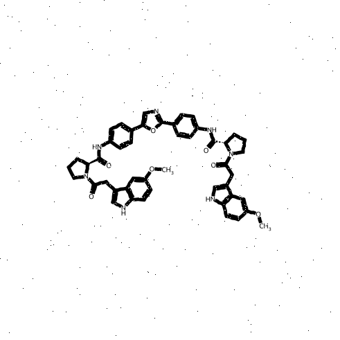 COc1ccc2[nH]cc(CC(=O)N3CCC[C@H]3C(=O)Nc3ccc(-c4cnc(-c5ccc(NC(=O)[C@@H]6CCCN6C(=O)Cc6c[nH]c7ccc(OC)cc67)cc5)o4)cc3)c2c1